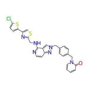 O=c1ccccn1Cc1ccc(Cn2cc3c(NCc4nc(-c5ccc(Cl)s5)cs4)nccc3n2)cc1